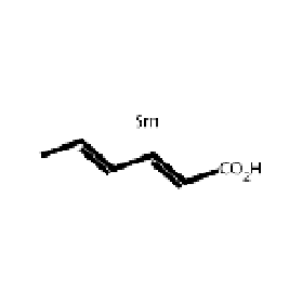 C/C=C/C=C/C(=O)O.[Sm]